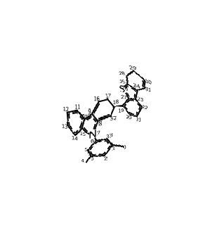 Cc1cc(C)cc(-n2c3c(c4ccccc42)=CC[C@@H](c2cccc4c5c(sc24)CCC=C5)C=3)c1